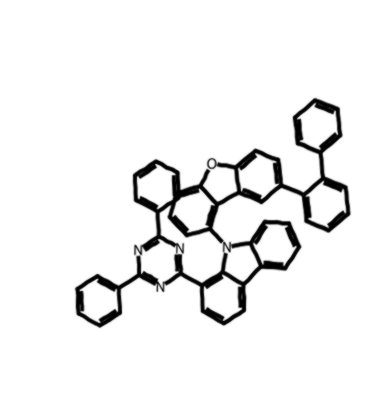 c1ccc(-c2nc(-c3ccccc3)nc(-c3cccc4c5ccccc5n(-c5cccc6oc7ccc(-c8ccccc8-c8ccccc8)cc7c56)c34)n2)cc1